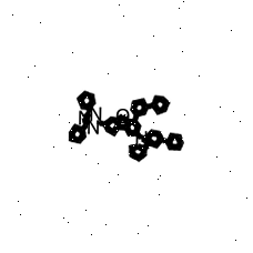 c1ccc(-c2cccc(-c3cc(-n4c5ccccc5c5cc(-c6ccccc6)ccc54)cc4c3oc3cc(-c5nc(-c6ccccc6)nc(-c6ccccc6)n5)ccc34)c2)cc1